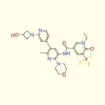 CCn1cc(C(=O)Nc2cc(-c3ccnc(N4CC(O)C4)c3)c(C)nc2N2CCOCC2)cc(C(F)(F)F)c1=O